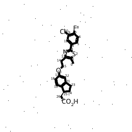 Cc1sc(-c2ccc(F)c(Cl)c2)nc1CCOc1ccc2c(c1)CC[C@H]2CC(=O)O